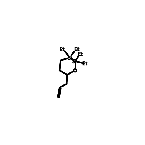 C=CCC1CC[Si](CC)(CC)[Si](CC)(CC)O1